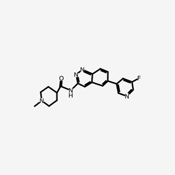 CN1CCC(C(=O)Nc2cc3cc(-c4cncc(F)c4)ccc3nn2)CC1